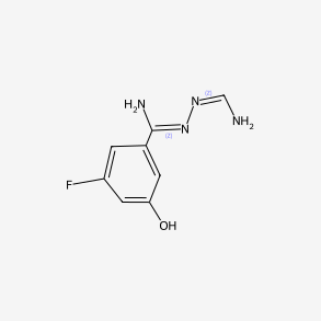 N/C=N\N=C(/N)c1cc(O)cc(F)c1